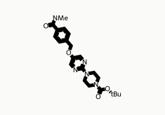 CNC(=O)c1ccc(COc2cnc(N3CCN(C(=O)OC(C)(C)C)CC3)nc2)cc1